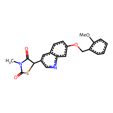 COc1ccccc1COc1ccc2cc(C3SC(=O)N(C)C3=O)cnc2c1